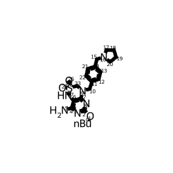 CCCCOc1nc(N)c2c(n1)N(Cc1ccc(CN3CCCC3)cc1)CS(=O)(=O)N2